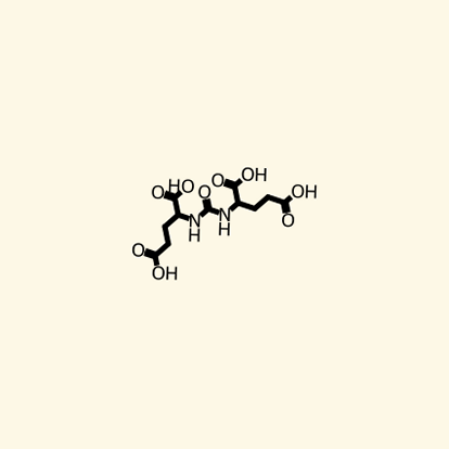 O=C(O)CCC(NC(=O)NC(CCC(=O)O)C(=O)O)C(=O)O